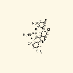 Cc1cc(Cl)cc(-c2nnc3cc(Cl)c(-c4cc(F)cc(C#N)c4O)cc3c2N2CCC(N)CC2)c1